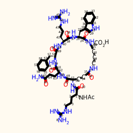 CC(=O)N[C@H](CCCNC(=N)N)C(=O)N[C@H]1CCC(=O)NCCC[C@@H](C(=O)O)NC(=O)[C@H](Cc2c[nH]c3ccccc23)NC(=O)[C@H](CCCNC(=N)N)NC(=O)[C@@H](Cc2ccccc2)NC(=O)C(CCC(N)=O)NC1=O